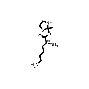 CC1(OC(=O)[C@@H](N)CCCCN)NCCS1